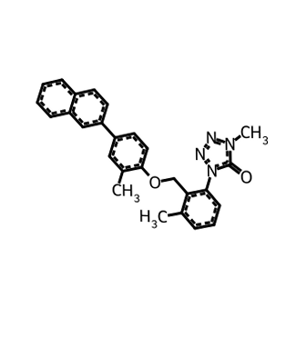 Cc1cc(-c2ccc3ccccc3c2)ccc1OCc1c(C)cccc1-n1nnn(C)c1=O